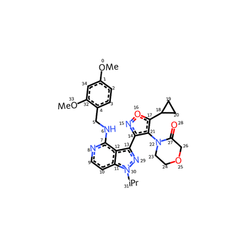 COc1ccc(CNc2nccc3c2c(-c2noc(C4CC4)c2N2CCOCC2=O)nn3C(C)C)c(OC)c1